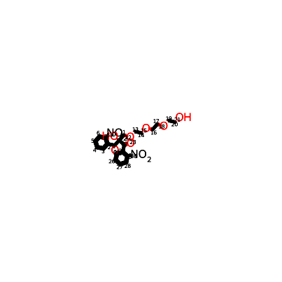 O=C(c1ccccc1[N+](=O)[O-])C(O)(COCCOCCOCCO)C(=O)c1ccccc1[N+](=O)[O-]